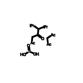 CC(=O)CC(=O)C(C(C)C)C(C)C.CC(=O)CC(C)=O.[O]=[Ti]([OH])[OH]